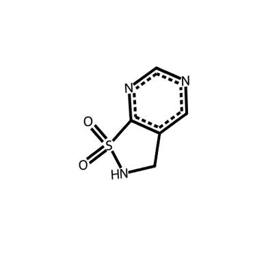 O=S1(=O)NCc2cncnc21